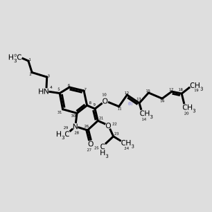 CCCCNc1ccc2c(OC/C=C(\C)CCC=C(C)C)c(OC(C)C)c(=O)n(C)c2c1